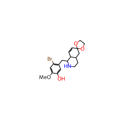 COc1cc(Br)c(CC2NCCC3CC4(C=CC32)OCCO4)cc1O